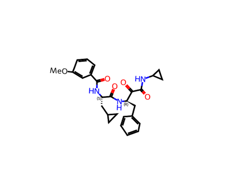 COc1cccc(C(=O)N[C@@H](CC2CC2)C(=O)N[C@H](Cc2ccccc2)C(=O)C(=O)NC2CC2)c1